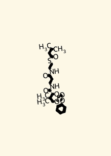 CC(C)CC(=O)SCCNC(=O)CCNC(=O)[C@@H]1OP(=O)(Oc2ccccc2)OCC1(C)C